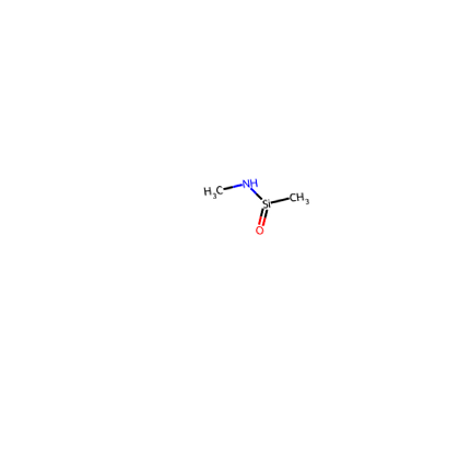 CN[Si](C)=O